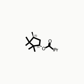 CC(C)C(=O)O[C@H]1C[C@H](C)C(C)(C)C1(C)C